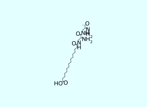 N[C@H]([C]=O)CNC(=O)[C@@H](N)CNC(=O)CCCCCCCCCCCCCCC(=O)O